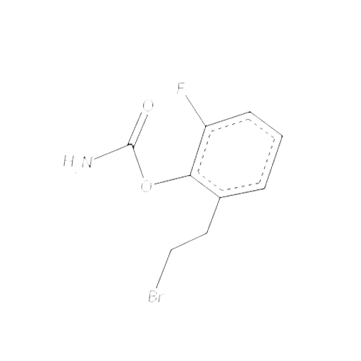 NC(=O)Oc1c(F)cccc1CCBr